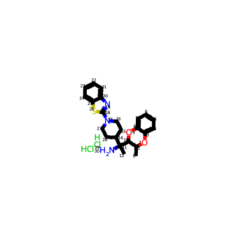 CC1Oc2ccccc2OC1C(C)(N)C1CCN(c2nc3ccccc3s2)CC1.Cl.Cl